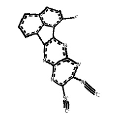 [C-]#[N+]c1nc2nc3c(nc2nc1[N+]#[C-])-c1c(F)ccc2cccc-3c12